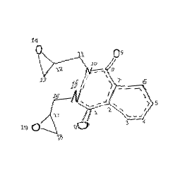 O=c1c2ccccc2c(=O)n(CC2CO2)n1CC1CO1